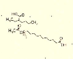 CC(=O)O.CCCCC(CC)C(=O)O.CCCCCCCCCCCC(=O)O